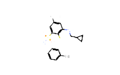 CC(=O)Nc1ccccc1.NS(=O)(=O)c1cc(C(=O)O)cc(NCC2CC2)c1S